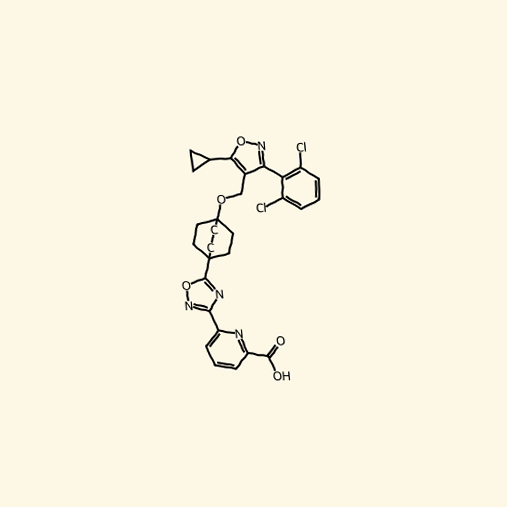 O=C(O)c1cccc(-c2noc(C34CCC(OCc5c(-c6c(Cl)cccc6Cl)noc5C5CC5)(CC3)CC4)n2)n1